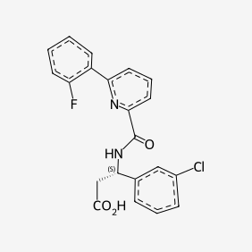 O=C(O)C[C@H](NC(=O)c1cccc(-c2ccccc2F)n1)c1cccc(Cl)c1